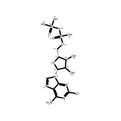 Nc1nc(Cl)nc2c1ncn2[C@@H]1O[C@H](COP(=O)(O)OP(=O)(O)S)[C@@H](O)C1O